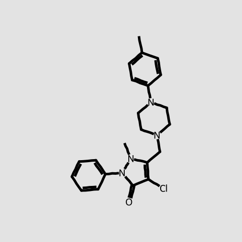 Cc1ccc(N2CCN(Cc3c(Cl)c(=O)n(-c4ccccc4)n3C)CC2)cc1